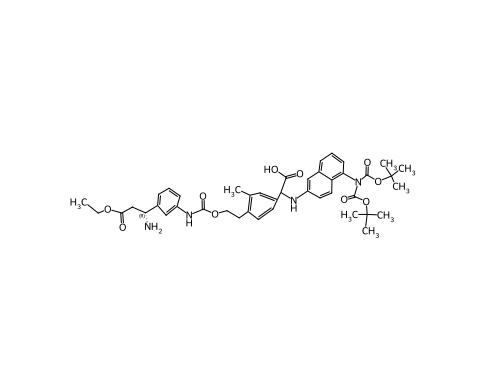 CCOC(=O)C[C@@H](N)c1cccc(NC(=O)OCCc2ccc(C(Nc3ccc4c(N(C(=O)OC(C)(C)C)C(=O)OC(C)(C)C)cccc4c3)C(=O)O)cc2C)c1